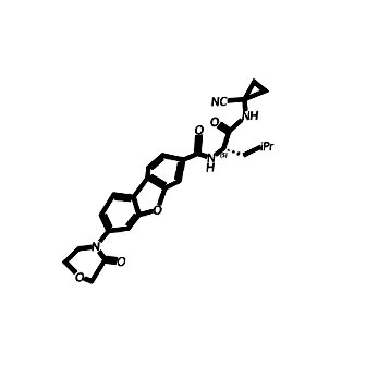 CC(C)C[C@H](NC(=O)c1ccc2c(c1)oc1cc(N3CCOCC3=O)ccc12)C(=O)NC1(C#N)CC1